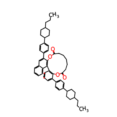 CCCC1CCC(c2ccc(-c3cc4ccccc4c4c3OC(=O)CCCCCC(=O)Oc3c(-c5ccc(C6CCC(CCC)CC6)cc5)cc5ccccc5c3-4)cc2)CC1